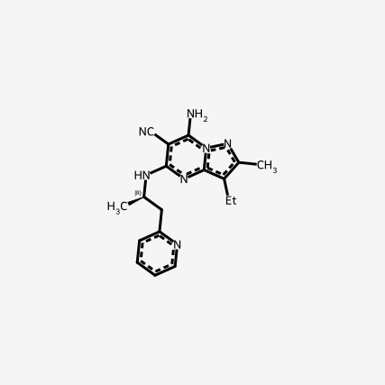 CCc1c(C)nn2c(N)c(C#N)c(N[C@H](C)Cc3ccccn3)nc12